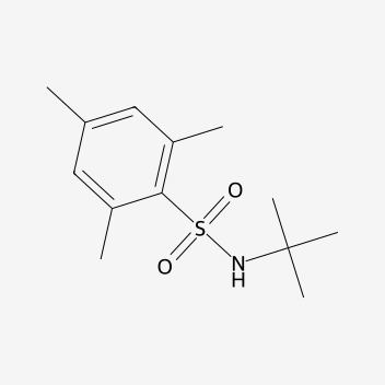 Cc1cc(C)c(S(=O)(=O)NC(C)(C)C)c(C)c1